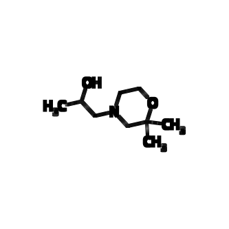 CC(O)CN1CCOC(C)(C)C1